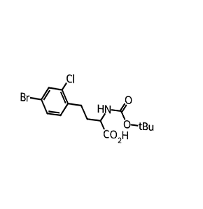 CC(C)(C)OC(=O)NC(CCc1ccc(Br)cc1Cl)C(=O)O